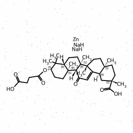 CC1(C)[C@@H](OC(=O)CCC(=O)O)CC[C@]2(C)[C@H]3C(=O)C=C4[C@@H]5C[C@@](C)(C(=O)O)CC[C@]5(C)CC[C@@]4(C)[C@]3(C)CC[C@@H]12.[NaH].[NaH].[Zn]